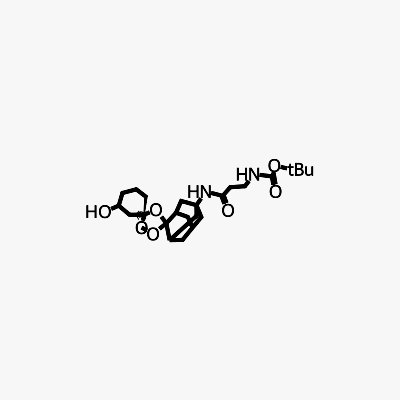 CC(C)(C)OC(=O)NCCC(=O)NC12CC3CC(C1)C1(OO[C@@]4(CCCC(O)C4)O1)C(C3)C2